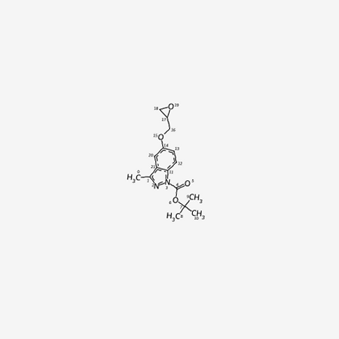 Cc1nn(C(=O)OC(C)(C)C)c2ccc(OCC3CO3)cc12